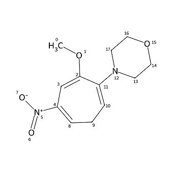 COC1=CC([N+](=O)[O-])=CCC=C1N1CCOCC1